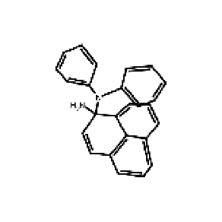 NC1(N(c2ccccc2)c2ccccc2)C=Cc2cccc3cccc1c23